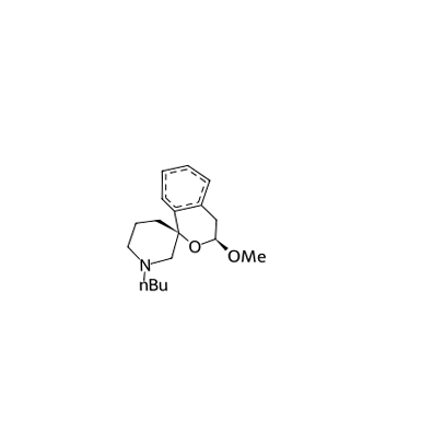 CCCCN1CCC[C@]2(C1)O[C@H](OC)Cc1ccccc12